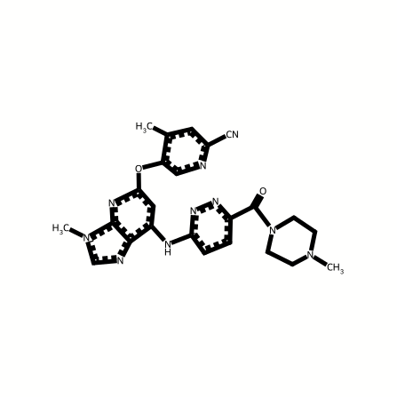 Cc1cc(C#N)ncc1Oc1cc(Nc2ccc(C(=O)N3CCN(C)CC3)nn2)c2ncn(C)c2n1